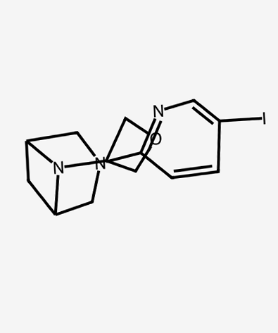 Ic1ccc(N2CC3CC(C2)N3C2COC2)nc1